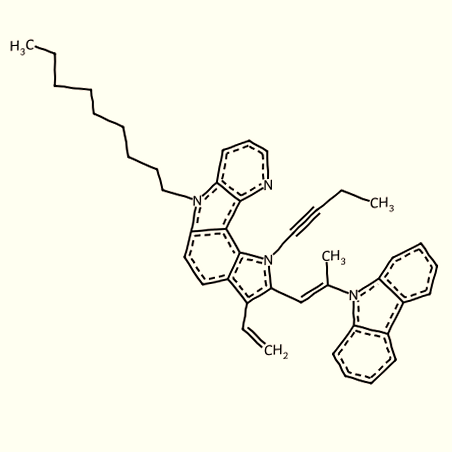 C=Cc1c(/C=C(\C)n2c3ccccc3c3ccccc32)n(C#CCC)c2c1ccc1c2c2ncccc2n1CCCCCCCCC